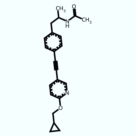 CC(=O)NC(C)Cc1ccc(C#Cc2ccc(OCC3CC3)nc2)cc1